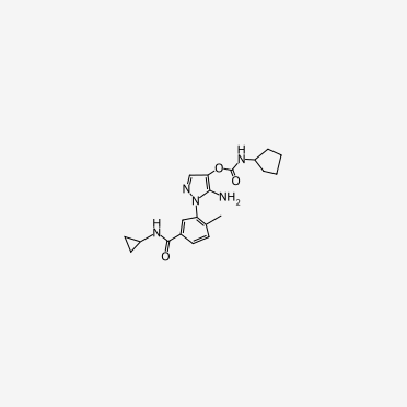 Cc1ccc(C(=O)NC2CC2)cc1-n1ncc(OC(=O)NC2CCCC2)c1N